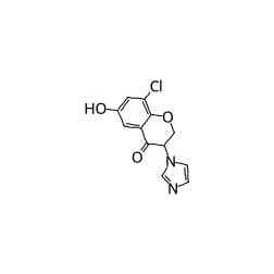 O=C1c2cc(O)cc(Cl)c2OCC1n1ccnc1